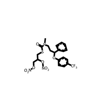 CN(CCC(Oc1ccc(C(F)(F)F)cc1)c1ccccc1)C(=O)SCC(CO[N+](=O)[O-])O[N+](=O)[O-]